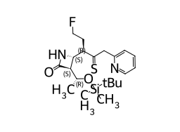 C[C@@H](O[Si](C)(C)C(C)(C)C)[C@H]1C(=O)N[C@@H]1[C@@H](CCF)C(=S)Cc1ccccn1